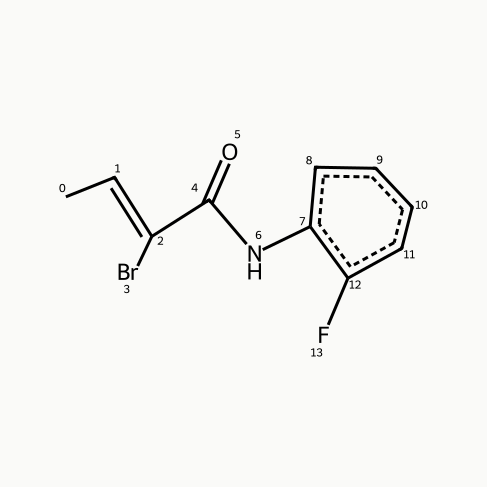 CC=C(Br)C(=O)Nc1ccccc1F